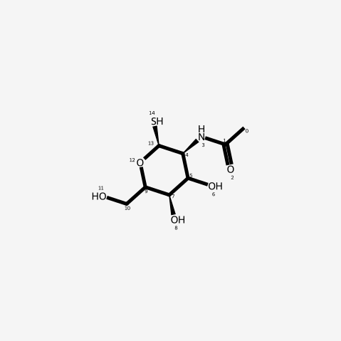 CC(=O)N[C@H]1C(O)[C@@H](O)C(CO)O[C@H]1S